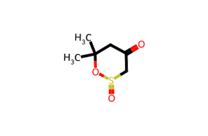 CC1(C)CC(=O)CS(=O)O1